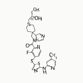 Cc1ccnc(Nc2ncc(Sc3ccnc(C(=O)NCC4(c5cccnc5)CCN(C[C@H](O)CO)CC4)c3F)s2)c1